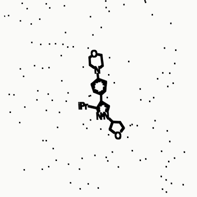 CC(C)c1nn(C2CCOC2)cc1-c1ccc(N2CCOCC2)cc1